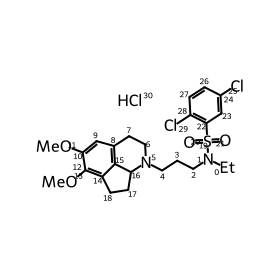 CCN(CCCN1CCc2cc(OC)c(OC)c3c2C1CC3)S(=O)(=O)c1cc(Cl)ccc1Cl.Cl